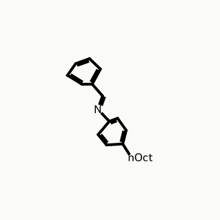 CCCCCCCCc1ccc(N=Cc2ccccc2)cc1